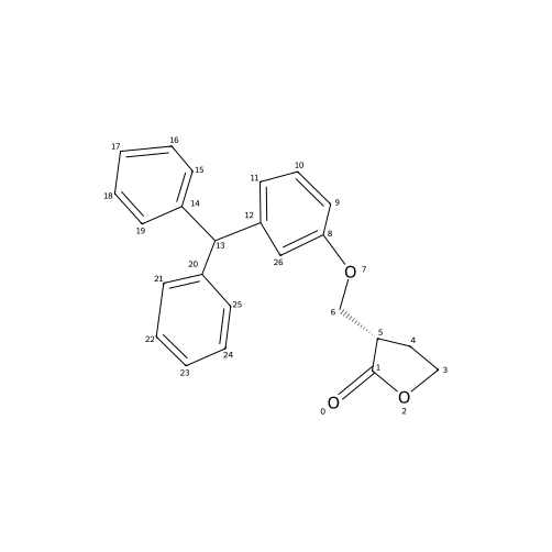 O=C1OCC[C@H]1COc1cccc(C(c2ccccc2)c2ccccc2)c1